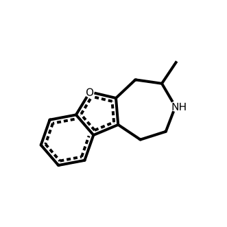 CC1Cc2oc3ccccc3c2CCN1